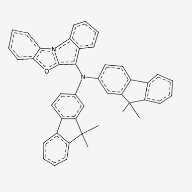 CC1(C)c2ccccc2-c2ccc(N(c3ccc4c(c3)C(C)(C)c3ccccc3-4)c3c4ccccc4n4c3oc3ccccc34)cc21